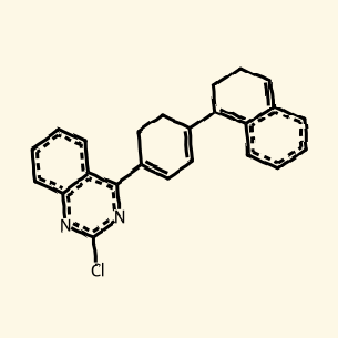 Clc1nc(C2=CC=C(C3=c4ccccc4=CCC3)CC2)c2ccccc2n1